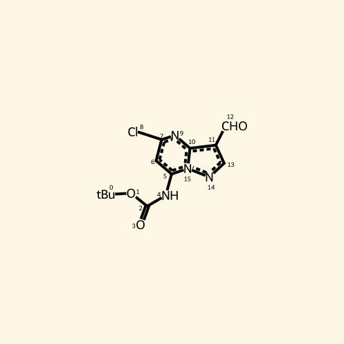 CC(C)(C)OC(=O)Nc1cc(Cl)nc2c(C=O)cnn12